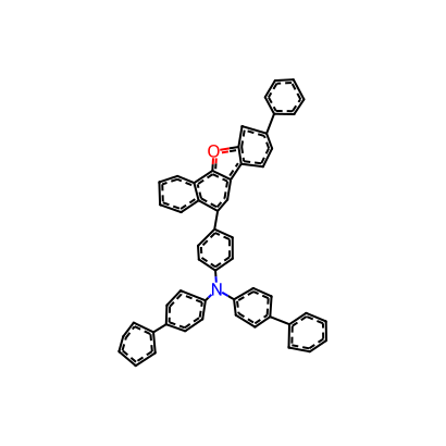 c1ccc(-c2ccc(N(c3ccc(-c4ccccc4)cc3)c3ccc(-c4cc5c6ccc(-c7ccccc7)cc6oc5c5ccccc45)cc3)cc2)cc1